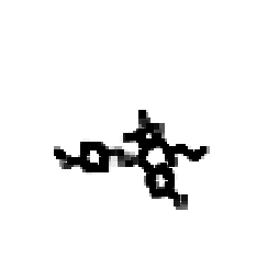 C=C(CCC)c1nn(C)c(C)c1C(NCc1ccc(OC)cc1)c1ccc(Cl)cc1